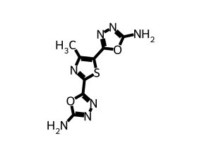 Cc1nc(-c2nnc(N)o2)sc1-c1nnc(N)o1